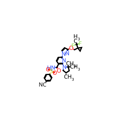 C[C@@H]1CN(c2nc(-n3ccc(OCC4(C(C)(F)F)CC4)n3)ccc2C(=O)NS(=O)(=O)c2ccc(C#N)cc2)C(C)(C)C1